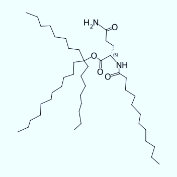 CCCCCCCCCCCC(=O)N[C@@H](CCC(N)=O)C(=O)OC(CCCCCCCC)(CCCCCCCC)CCCCCCCCCCC